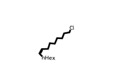 CCCCCC/C=C\CCCCCCCCl